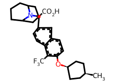 C[C@H]1CC[C@@H](Oc2ccc3cc(C(C(=O)O)N4C5CCCC4CCC5)ccc3c2C(F)(F)F)CC1